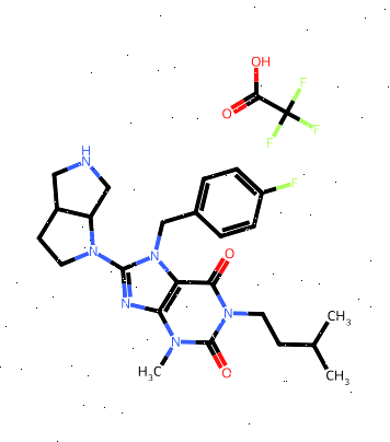 CC(C)CCn1c(=O)c2c(nc(N3CCC4CNCC43)n2Cc2ccc(F)cc2)n(C)c1=O.O=C(O)C(F)(F)F